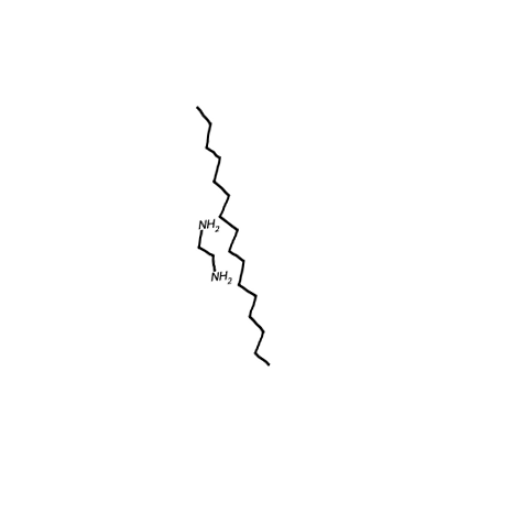 CCCCCCCCCCCCCCCC.NCCN